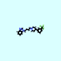 FC(F)(F)c1cccc(C2CCN(CCCCn3cnc4ccccc43)CC2)c1